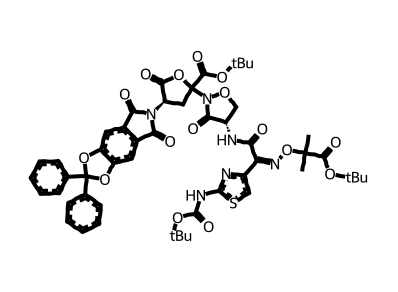 CC(C)(C)OC(=O)Nc1nc(/C(=N/OC(C)(C)C(=O)OC(C)(C)C)C(=O)N[C@H]2CON(C3(C(=O)OC(C)(C)C)C[C@@H](N4C(=O)c5cc6c(cc5C4=O)OC(c4ccccc4)(c4ccccc4)O6)C(=O)O3)C2=O)cs1